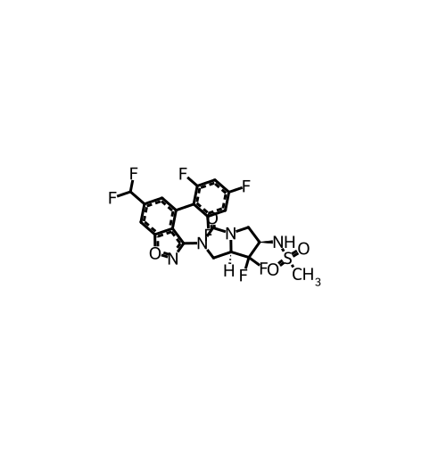 CS(=O)(=O)N[C@@H]1CN2C(=O)N(c3noc4cc(C(F)F)cc(-c5c(F)cc(F)cc5F)c34)C[C@@H]2C1(F)F